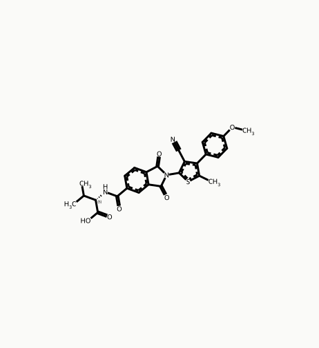 COc1ccc(-c2c(C)sc(N3C(=O)c4ccc(C(=O)N[C@H](C(=O)O)C(C)C)cc4C3=O)c2C#N)cc1